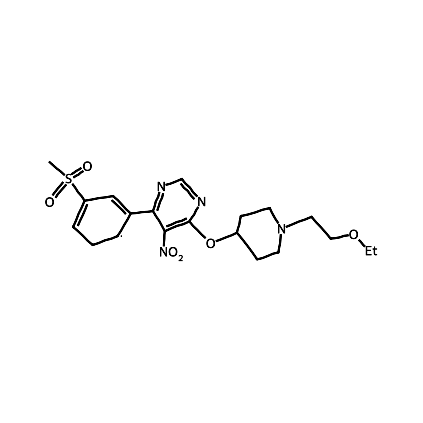 CCOCCN1CCC(Oc2ncnc(C3=CC(S(C)(=O)=O)=CC[CH]3)c2[N+](=O)[O-])CC1